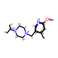 COc1cc(C)c(CN2CCN(C(C)C)CC2)cn1